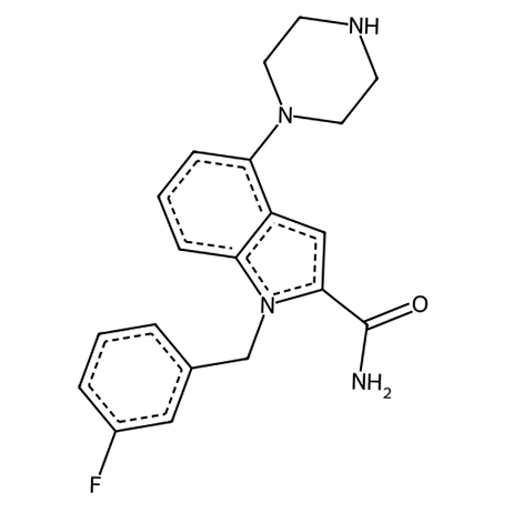 NC(=O)c1cc2c(N3CCNCC3)cccc2n1Cc1cccc(F)c1